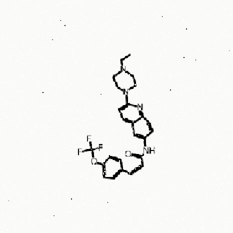 CCN1CCN(c2ccc3cc(NC(=O)/C=C\c4ccc(OC(F)(F)F)cc4)ccc3n2)CC1